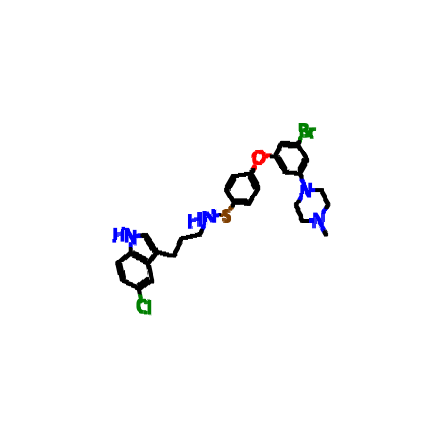 CN1CCN(c2cc(Br)cc(Oc3ccc(SNCCCc4c[nH]c5ccc(Cl)cc45)cc3)c2)CC1